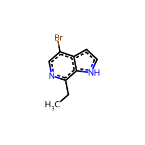 CCc1ncc(Br)c2cc[nH]c12